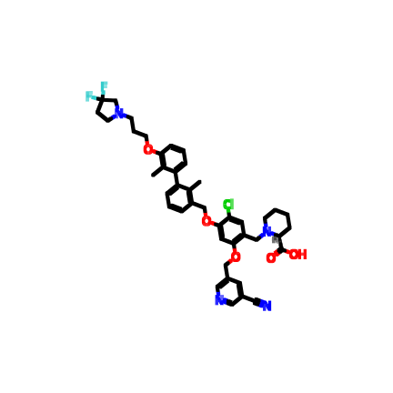 Cc1c(COc2cc(OCc3cncc(C#N)c3)c(CN3CCCC[C@H]3C(=O)O)cc2Cl)cccc1-c1cccc(OCCCN2CCC(F)(F)C2)c1C